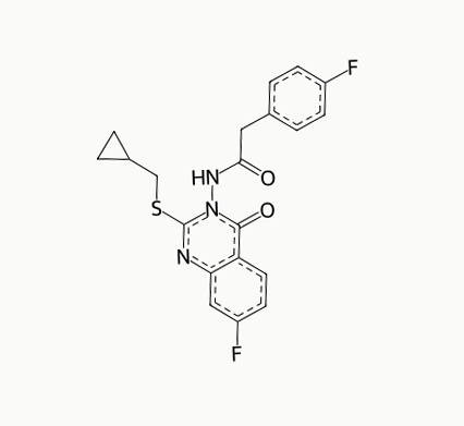 O=C(Cc1ccc(F)cc1)Nn1c(SCC2CC2)nc2cc(F)ccc2c1=O